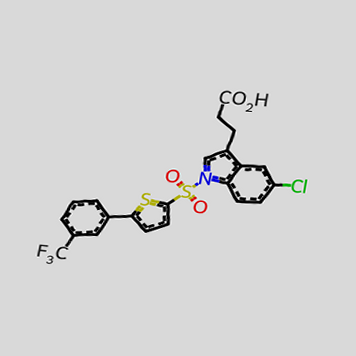 O=C(O)CCc1cn(S(=O)(=O)c2ccc(-c3cccc(C(F)(F)F)c3)s2)c2ccc(Cl)cc12